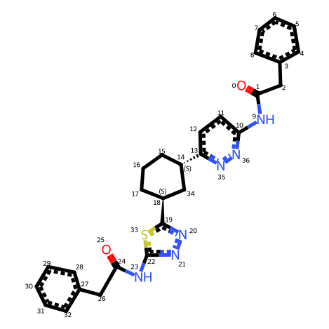 O=C(Cc1ccccc1)Nc1ccc([C@H]2CCC[C@H](c3nnc(NC(=O)Cc4ccccc4)s3)C2)nn1